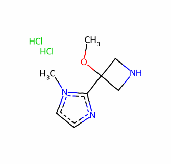 COC1(c2nccn2C)CNC1.Cl.Cl